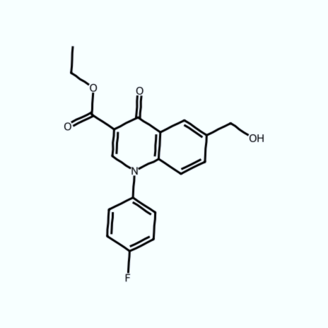 CCOC(=O)c1cn(-c2ccc(F)cc2)c2ccc(CO)cc2c1=O